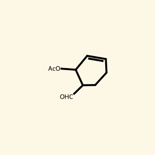 CC(=O)OC1C=CCCC1C=O